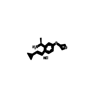 C[C@H](N)c1cc(OC2COC2)ccc1/C=C/C1CC1.Cl